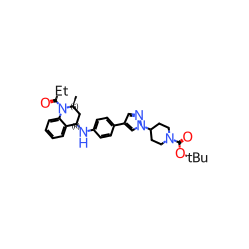 CCC(=O)N1c2ccccc2[C@H](Nc2ccc(-c3cnn(C4CCN(C(=O)OC(C)(C)C)CC4)c3)cc2)C[C@@H]1C